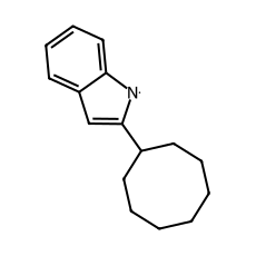 C1=C(C2CCCCCCC2)[N]c2ccccc21